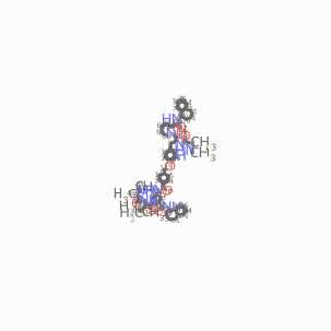 CNC(C)C(=O)NC(Cc1ccc(OCc2ccc(C(=O)N[C@H]3C[C@@H](C(=O)N[C@@H]4CCCc5ccccc54)N(C(=O)C(NC(=O)C(C)NC)C(C)(C)C)C3)cc2)cc1)C(=O)N1CCCCC1C(=O)N[C@@H]1CCCc2ccccc21